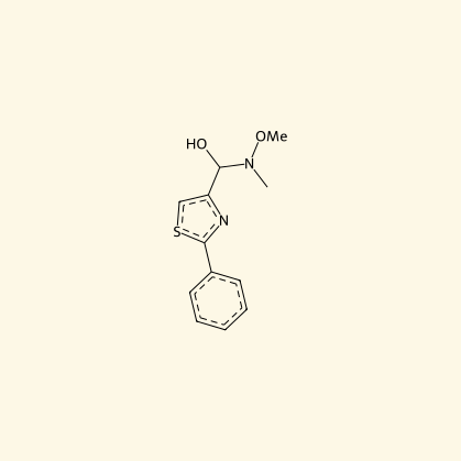 CON(C)C(O)c1csc(-c2ccccc2)n1